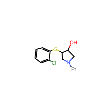 CCN1CC(O)C(Sc2ccccc2Cl)C1